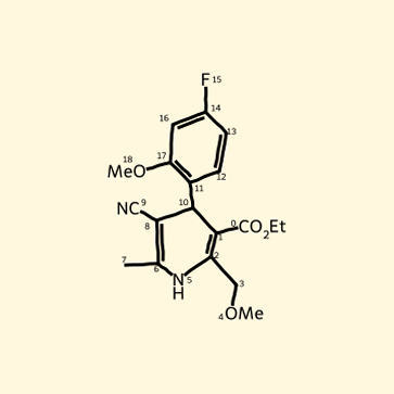 CCOC(=O)C1=C(COC)NC(C)=C(C#N)C1c1ccc(F)cc1OC